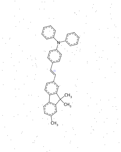 Cc1ccc2c(c1)C(C)(C)c1cc(/C=C/c3ccc(N(c4ccccc4)c4ccccc4)cc3)ccc1-2